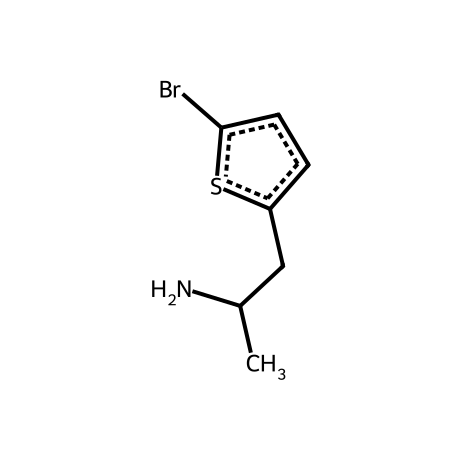 CC(N)Cc1ccc(Br)s1